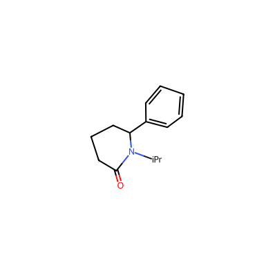 CC(C)N1C(=O)CCCC1c1ccccc1